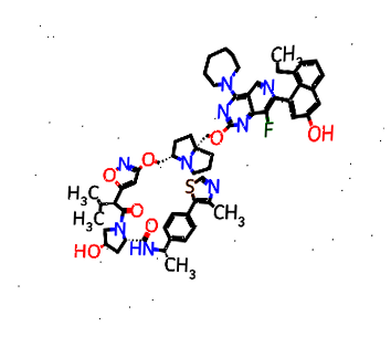 CCc1cccc2cc(O)cc(-c3ncc4c(N5CCCCCC5)nc(OC[C@]56CCCN5[C@H](COc5cc([C@@H](C(=O)N7C[C@H](O)C[C@H]7C(=O)N[C@@H](C)c7ccc(-c8scnc8C)cc7)C(C)C)on5)CC6)nc4c3F)c12